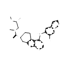 CO[C@@H](C)CN(C)C(=O)[C@H]1CCc2c(sc3ncnc(Nc4cc5ccnn5cc4Cl)c23)C1